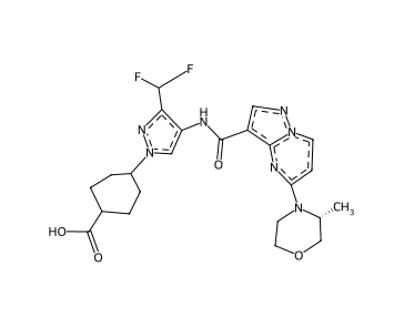 C[C@@H]1COCCN1c1ccn2ncc(C(=O)Nc3cn(C4CCC(C(=O)O)CC4)nc3C(F)F)c2n1